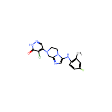 Cc1cc(F)ccc1Nc1cnc2n1CCN(c1cn[nH]c(=O)c1Cl)C2